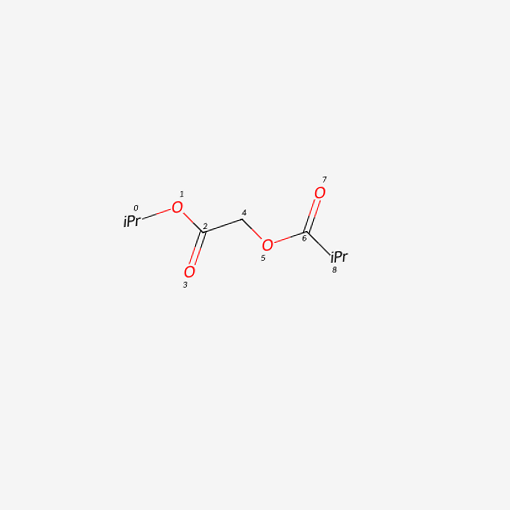 CC(C)OC(=O)COC(=O)C(C)C